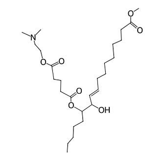 CCCCCC(OC(=O)CCCC(=O)OCCN(C)C)C(O)C=CCCCCCCCC(=O)OC